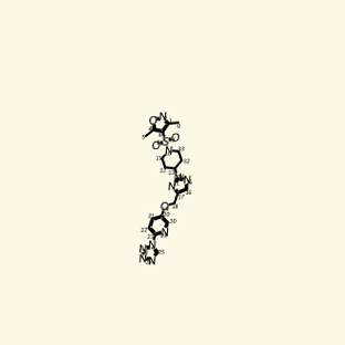 Cc1noc(C)c1S(=O)(=O)N1CCC(n2ncc(COc3ccc(-n4cnnn4)nc3)n2)CC1